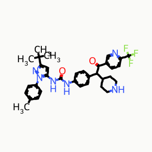 Cc1ccc(-n2nc(C(C)(C)C)cc2NC(=O)Nc2ccc(C(C(=O)c3ccc(C(F)(F)F)nc3)C3CCNCC3)cc2)cc1